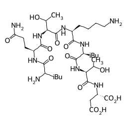 CCC(C)C(N)C(=O)N[C@@H](CCC(N)=O)C(=O)N[C@H](C(=O)N[C@@H](CCCCN)C(=O)N[C@H](C(=O)N[C@H](C(=O)N[C@@H](CC(=O)O)C(=O)O)C(C)O)C(C)CC)C(C)O